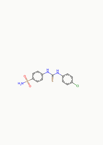 NS(=O)(=O)c1ccc(NC(=S)Nc2ccc(Cl)cc2)cc1